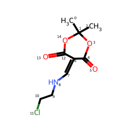 CC1(C)OC(=O)C(=CNCCCl)C(=O)O1